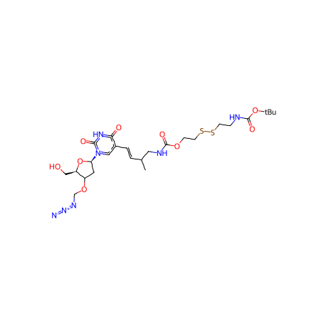 CC(/C=C/c1cn([C@H]2CC(OCN=[N+]=[N-])[C@@H](CO)O2)c(=O)[nH]c1=O)CNC(=O)OCCSSCCNC(=O)OC(C)(C)C